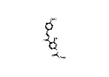 CCCCCC(=O)Oc1ccc(C(=O)C=Cc2ccc(OC)cc2)c(O)c1